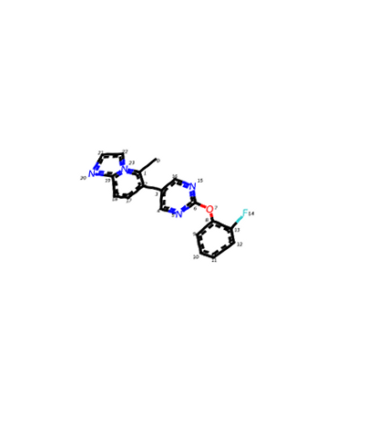 Cc1c(-c2cnc(Oc3ccccc3F)nc2)ccc2nccn12